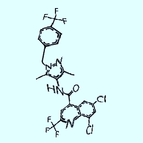 Cc1nn(Cc2ccc(C(F)(F)F)cc2)c(C)c1NC(=O)c1cc(C(F)(F)F)nc2c(Cl)cc(Cl)cc12